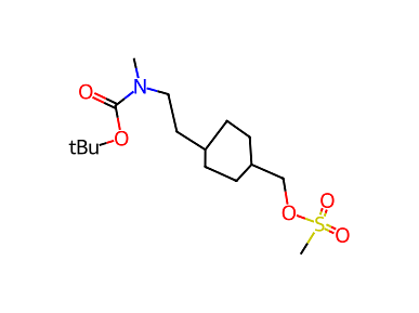 CN(CCC1CCC(COS(C)(=O)=O)CC1)C(=O)OC(C)(C)C